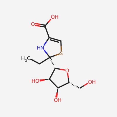 CCC1([C@@H]2O[C@H](CO)[C@@H](O)[C@H]2O)NC(C(=O)O)=CS1